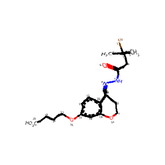 CC(C)(S)CC(=O)NN=C1CCOc2cc(OCCCC(=O)O)ccc21